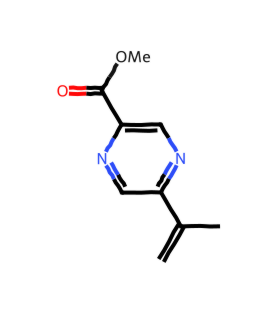 C=C(C)c1cnc(C(=O)OC)cn1